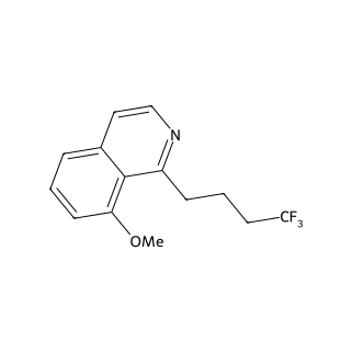 COc1cccc2ccnc(CCCC(F)(F)F)c12